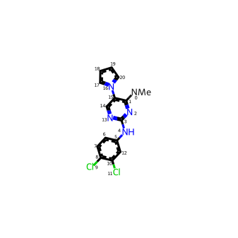 CNc1nc(Nc2ccc(Cl)c(Cl)c2)ncc1-n1cccc1